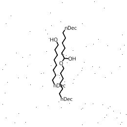 CCCCCCCCCCCCCCCCCCO.CCCCCCCCCCCCCCCCOC(O)CCCCCCCCCCCCCCC